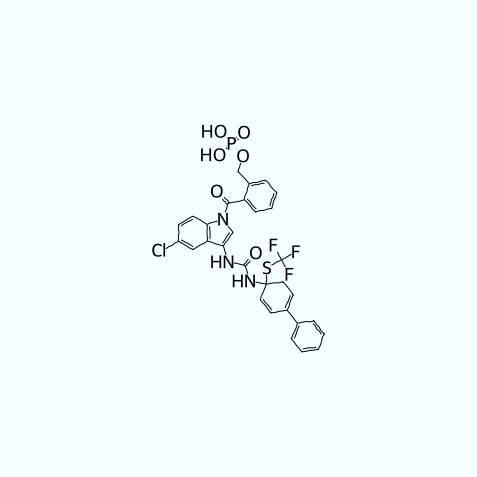 O=C(Nc1cn(C(=O)c2ccccc2COP(=O)(O)O)c2ccc(Cl)cc12)NC1(SC(F)(F)F)C=CC(c2ccccc2)=CC1